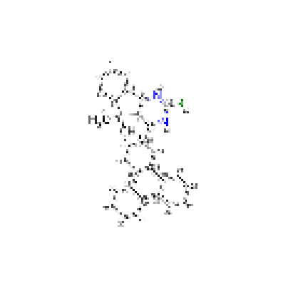 CC1(C)c2ccccc2-c2nc(Cl)nc(-c3ccc4c5ccccc5c5ccccc5c4c3)c21